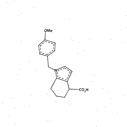 COc1ccc(Cn2ccc3c2CCCC3C(=O)O)cc1